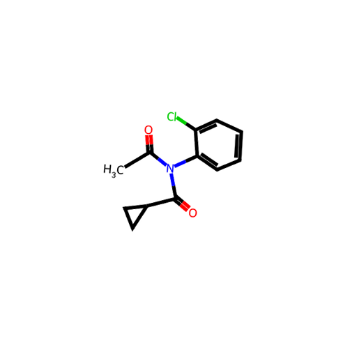 CC(=O)N(C(=O)C1CC1)c1ccccc1Cl